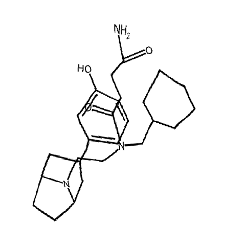 NC(=O)CCC(=O)N(CCN1C2CCC1CC(c1cccc(O)c1)C2)CC1CCCCC1